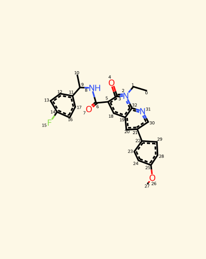 CCn1c(=O)c(C(=O)NC(C)c2ccc(F)cc2)cc2cc(-c3ccc(OC)cc3)cnc21